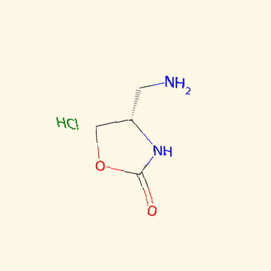 Cl.NC[C@H]1COC(=O)N1